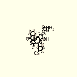 NS(=O)(=O)OC[C@H]1C[C@@H](Nc2ncncc2C(=O)c2cc(C3OCc4ccc(Cl)cc43)c(Cl)s2)C[C@@H]1O